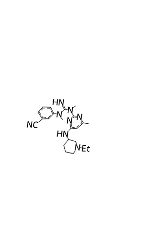 CCN1CCCC(Nc2cc(C)nc(N(C)C(=N)N(C)c3cccc(C#N)c3)n2)C1